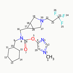 Cn1cnc(OC(=O)N(CC2CCCCC2)CC2C3CN(CCC(F)(F)F)CC32)c1